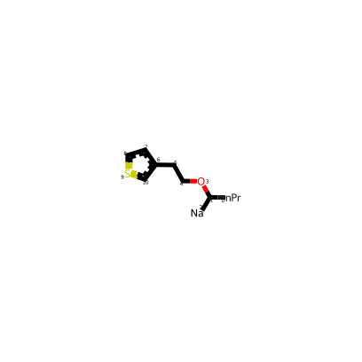 CCC[CH]([Na])OCCc1ccsc1